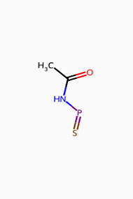 CC(=O)NP=S